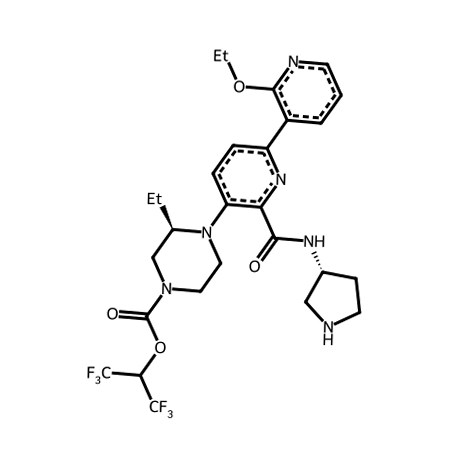 CCOc1ncccc1-c1ccc(N2CCN(C(=O)OC(C(F)(F)F)C(F)(F)F)C[C@H]2CC)c(C(=O)N[C@@H]2CCNC2)n1